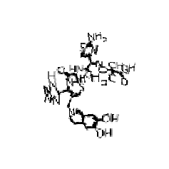 CC(C)(O/N=C(\C(=O)N[C@@H]1C(=O)N2C(c3nnn[nH]3)=C(C[n+]3ccc4cc(O)c(O)cc4c3)CS[C@H]12)c1csc(N)n1)C(=O)O